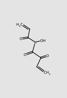 C=CC(=O)C(=O)N(O)C(=O)C=C